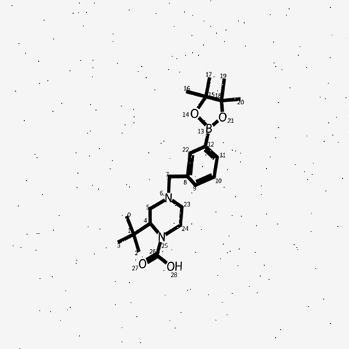 CC(C)(C)C1CN(Cc2cccc(B3OC(C)(C)C(C)(C)O3)c2)CCN1C(=O)O